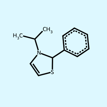 CC(C)N1C=CSC1c1ccccc1